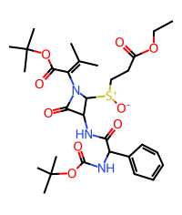 CCOC(=O)CC[S+]([O-])C1C(NC(=O)C(NC(=O)OC(C)(C)C)c2ccccc2)C(=O)N1C(C(=O)OC(C)(C)C)=C(C)C